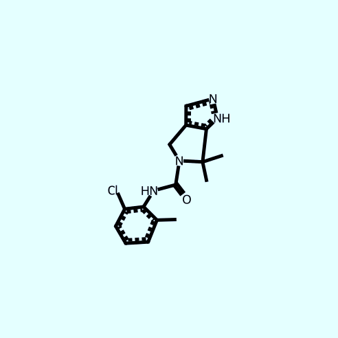 Cc1cccc(Cl)c1NC(=O)N1Cc2cn[nH]c2C1(C)C